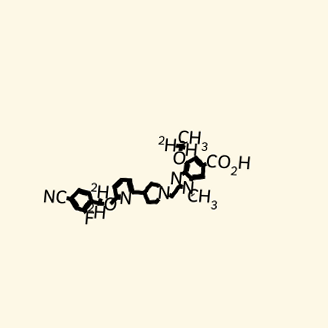 [2H]C([2H])(C)Oc1cc(C(=O)O)cc2c1nc(CN1CCC(c3cccc(OC([2H])([2H])c4ccc(C#N)cc4F)n3)CC1)n2C